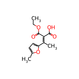 CCOC(=O)C(C(=O)O)=C(C)c1ccc(C)o1